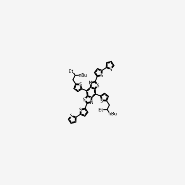 CCCCC(CC)Cc1ccc(-c2c3nc(-c4ccc(-c5cccs5)s4)sc3c(-c3ccc(CC(CC)CCCC)s3)c3nc(-c4ccc(-c5cccs5)s4)sc23)s1